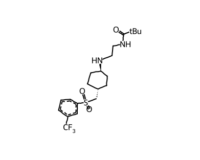 CC(C)(C)C(=O)NCCN[C@H]1CC[C@H](CS(=O)(=O)c2cccc(C(F)(F)F)c2)CC1